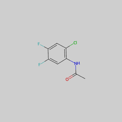 CC(=O)Nc1cc(F)c(F)cc1Cl